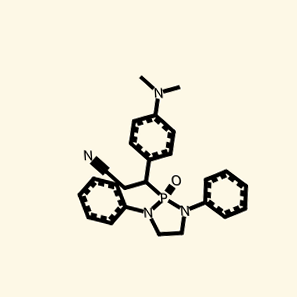 CN(C)c1ccc(C(CC#N)P2(=O)N(c3ccccc3)CCN2c2ccccc2)cc1